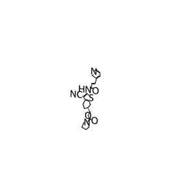 N#Cc1c(NC(=O)/C=C/c2cccnc2)sc2c1CC[C@H](COC(=O)N1CCCC1)C2